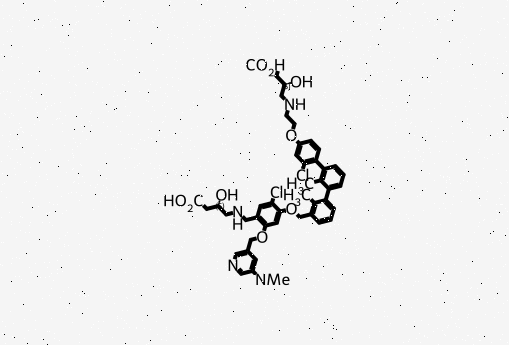 CNc1cncc(COc2cc(OCc3cccc(-c4cccc(-c5ccc(OCCNC[C@@H](O)CC(=O)O)cc5Cl)c4C)c3C)c(Cl)cc2CNC[C@@H](O)CC(=O)O)c1